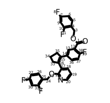 O=C(OCc1ccc(F)cc1F)c1cc(C2=C(c3cccnc3OCc3ccc(F)cc3F)CCC2)ccc1F